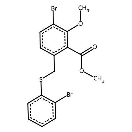 COC(=O)c1c(CSc2ccccc2Br)ccc(Br)c1OC